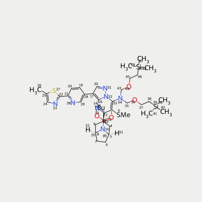 CSc1c([C@H]2C[C@H]3CC[C@@H](C2)N3C(=O)OC(C)(C)C)nc2c(-c3ccc(-c4ncc(C)s4)nc3)cnn2c1N(COCC[Si](C)(C)C)COCC[Si](C)(C)C